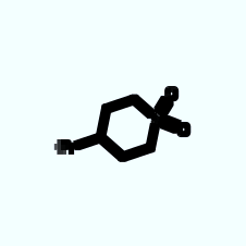 C[C](C)C1CCS(=O)(=O)CC1